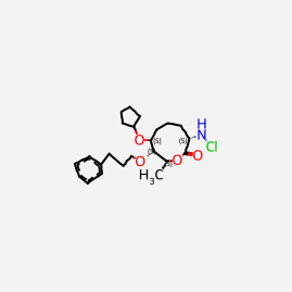 C[C@@H]1OC(=O)[C@@H](NCl)CCC[C@H](OC2CCCC2)[C@H]1OCCCc1ccccc1